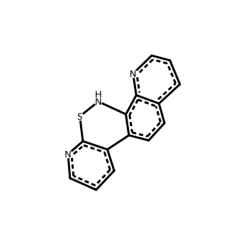 c1cnc2c(c1)-c1ccc3cccnc3c1NS2